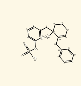 O=C(O)C1(Cc2cccc(OS(=O)(=O)C(F)(F)F)c2)CCCC=C1Cc1ccccc1